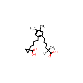 Cc1cc(CCCCC(C)(C)C(=O)O)c(CCCCC2(C(=O)O)CC2)cc1C